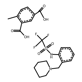 Cc1ccc(C(=O)O)cc1C(=O)O.O=S(=O)(Nc1ccccc1CN1CCCCC1)C(F)(F)F